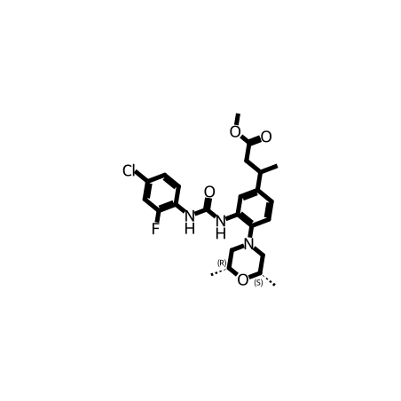 COC(=O)CC(C)c1ccc(N2C[C@@H](C)O[C@@H](C)C2)c(NC(=O)Nc2ccc(Cl)cc2F)c1